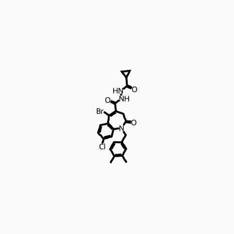 Cc1ccc(CN2C(=O)CC(C(=O)NNC(=O)C3CC3)=C(Br)c3ccc(Cl)cc32)cc1C